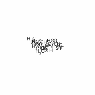 CCN1CCCC[C@@H]1C(=O)N[C@H](C(=O)N(C)[C@H](C[C@@H](OC(C)=O)c1nc(C(=O)N[C@@H](CCc2nc(C(F)(F)F)cs2)C[C@H](C)C(=O)O)cs1)C(C)C)C1CC1